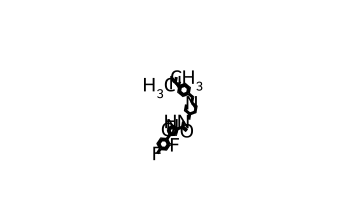 CN(C)c1ccc(CN2CCC(CNC(=O)c3cc(-c4ccc(F)cc4F)on3)CC2)cc1